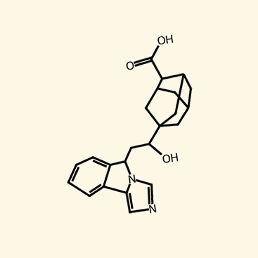 O=C(O)C1C2CC3CC1CC(C(O)CC1c4ccccc4-c4cncn41)(C3)C2